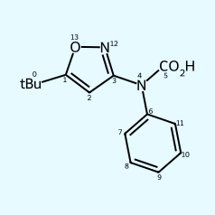 CC(C)(C)c1cc(N(C(=O)O)c2ccccc2)no1